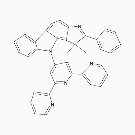 CC1(C)C(c2ccccc2)=Nc2ccc3c4ccccc4n(-c4cc(-c5ccccn5)nc(-c5ccccn5)c4)c3c21